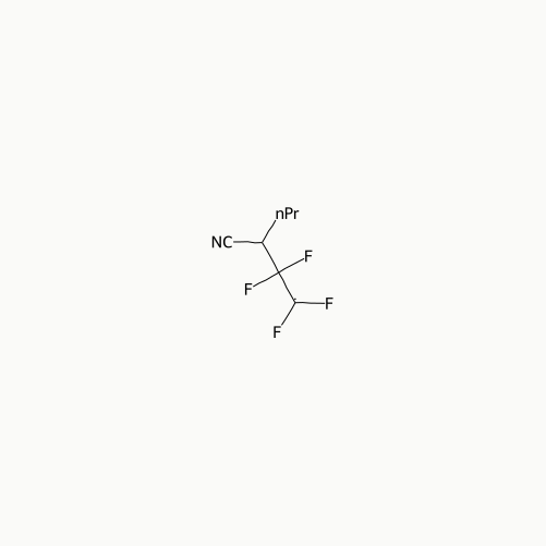 CCCC(C#N)C(F)(F)[C](F)F